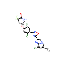 O=C1NC[C@H](Oc2cc(Cl)c(-c3noc(-c4cn5cc(C(F)(F)F)cc(Cl)c5n4)n3)cc2Cl)CC1(F)F